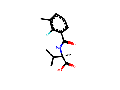 Cc1cccc(C(=O)N[C@@](C)(C(=O)O)C(C)C)c1F